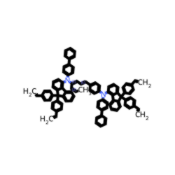 C=Cc1ccc(C2(c3ccc(C=C)cc3)c3ccccc3-c3c(N(C(/C=C\C)=C/C=C/c4ccc(N(c5ccc(-c6ccccc6)cc5)c5cccc6c5-c5ccccc5C6(c5ccc(C=C)cc5)c5ccc(C=C)cc5)cc4)c4ccc(-c5ccccc5)cc4)cccc32)cc1